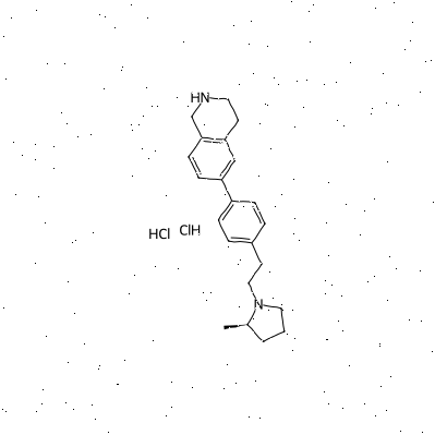 C[C@@H]1CCCN1CCc1ccc(-c2ccc3c(c2)CCNC3)cc1.Cl.Cl